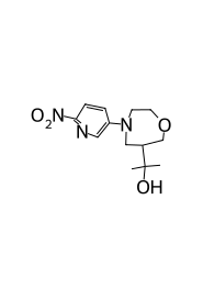 CC(C)(O)C1COCCN(c2ccc([N+](=O)[O-])nc2)C1